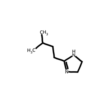 CC(C)CCC1=NCCN1